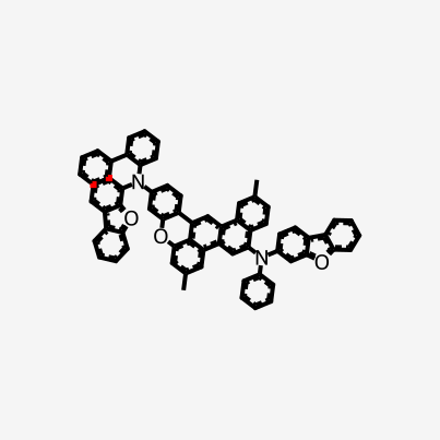 Cc1ccc2c(N(c3ccccc3)c3ccc4c(c3)oc3ccccc34)cc3c4cc(C)cc5c4c(cc3c2c1)-c1ccc(N(c2ccccc2-c2ccccc2)c2cccc3c2oc2ccccc23)cc1O5